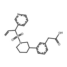 C=CC(c1cccnc1)S(=O)(=O)N1CCCC(c2cccc(CC(=O)O)c2)C1